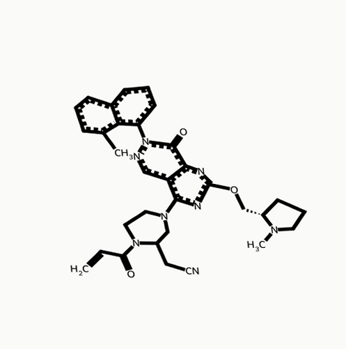 C=CC(=O)N1CCN(c2nc(OC[C@@H]3CCCN3C)nc3c(=O)n(-c4cccc5cccc(C)c45)ncc23)CC1CC#N